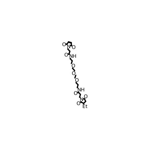 CCC1CC(=O)N(CCC(=O)NCCCOCCOCCOCCCNC(=O)CCN2C(=O)C=CC2=O)C1=O